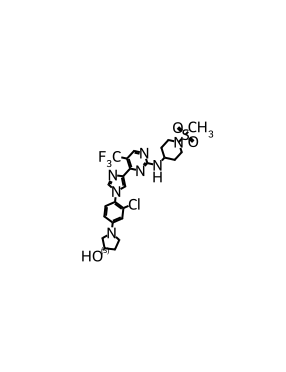 CS(=O)(=O)N1CCC(Nc2ncc(C(F)(F)F)c(-c3cn(-c4ccc(N5CC[C@H](O)C5)cc4Cl)cn3)n2)CC1